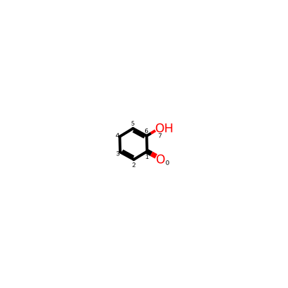 O=C1C=CCC=C1O